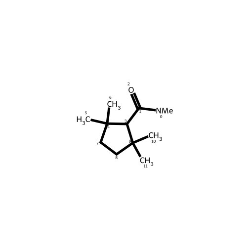 CNC(=O)C1C(C)(C)CCC1(C)C